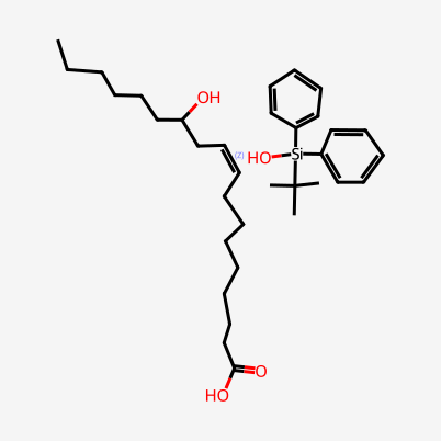 CC(C)(C)[Si](O)(c1ccccc1)c1ccccc1.CCCCCCC(O)C/C=C\CCCCCCCC(=O)O